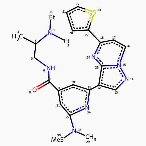 CCN(CC)C(C)CNC(=O)c1cc(-c2cnn3ccc(-c4cccs4)nc23)nc(N(C)SC)c1